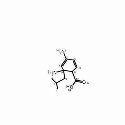 CC(C)CC1(N)C=C(N)C=CC1C(=O)O